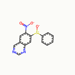 O=[N+]([O-])c1cc2cncnc2cc1[S+]([O-])c1ccccc1